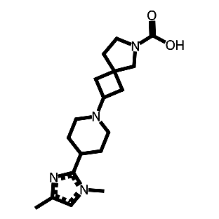 Cc1cn(C)c(C2CCN(C3CC4(CCN(C(=O)O)C4)C3)CC2)n1